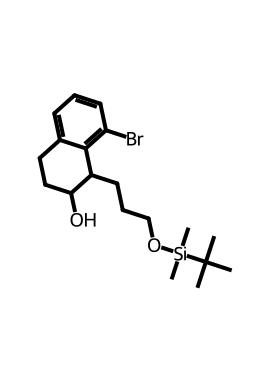 CC(C)(C)[Si](C)(C)OCCCC1c2c(Br)cccc2CCC1O